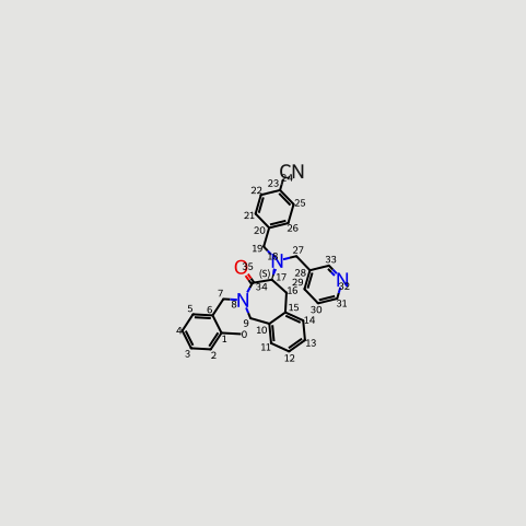 Cc1ccccc1CN1Cc2ccccc2C[C@H](N(Cc2ccc(C#N)cc2)Cc2cccnc2)C1=O